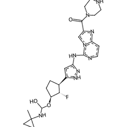 CC1(NC(O)O[C@H]2CC[C@@H](c3cc(Nc4nccc5nc(C(=O)N6CCNCC6)cn45)n[nH]3)[C@@H]2F)CC1